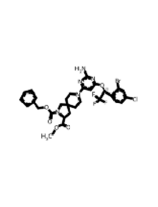 CCOC(=O)C1CC2(CCN(c3cc(O[C@@H](c4ccc(Cl)cc4Br)C(F)(F)F)nc(N)n3)CC2)CN1C(=O)OCc1ccccc1